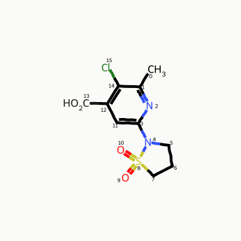 Cc1nc(N2CCCS2(=O)=O)cc(C(=O)O)c1Cl